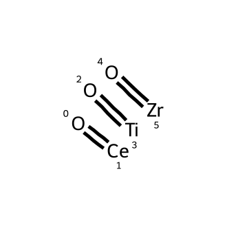 [O]=[Ce].[O]=[Ti].[O]=[Zr]